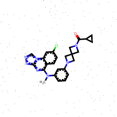 CN(c1cccc(N2CC3(CN(C(=O)C4CC4)C3)C2)c1)c1nc2nncn2c2cc(Cl)ccc12